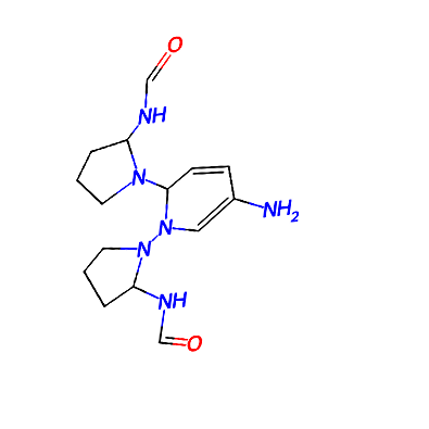 NC1=CN(N2CCCC2NC=O)C(N2CCCC2NC=O)C=C1